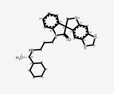 C[C@H](NCCCN1C(=O)C2(COc3cc4c(cc32)OCO4)c2ccccc21)C1CCCCC1